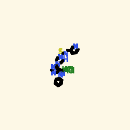 Cl.Cl.S=C(NCc1cccnc1)N1CCN(c2ncnc3c2cnn3-c2ccccc2)CC1